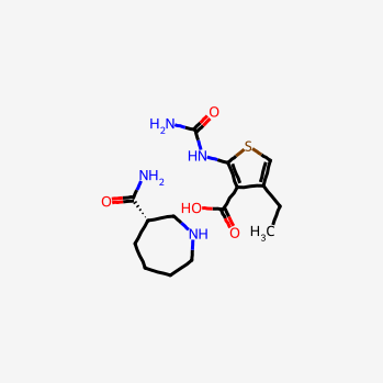 CCc1csc(NC(N)=O)c1C(=O)O.NC(=O)[C@H]1CCCCNC1